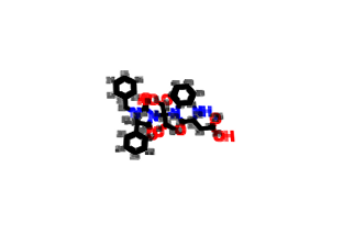 CC(=O)[C@@](C(=O)O)(N1C(=O)N(Cc2ccccc2)[C@](C)(c2ccccc2)C1=O)N(C(=O)[C@@H](N)CC(=O)O)c1ccccc1